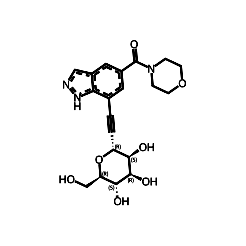 O=C(c1cc(C#C[C@H]2O[C@H](CO)[C@@H](O)[C@H](O)[C@@H]2O)c2[nH]ncc2c1)N1CCOCC1